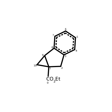 CCOC(=O)C12Cc3ccccc3C1C2